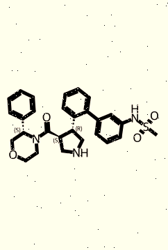 CS(=O)(=O)Nc1cccc(-c2ccccc2[C@@H]2CNC[C@H]2C(=O)N2CCOC[C@@H]2c2ccccc2)c1